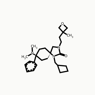 CN(C)[C@]1(c2ccccc2)CC[C@]2(CC1)CN(CCC1(C)COC1)C(=O)N2CC1CCC1